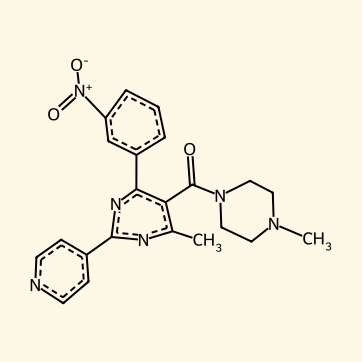 Cc1nc(-c2ccncc2)nc(-c2cccc([N+](=O)[O-])c2)c1C(=O)N1CCN(C)CC1